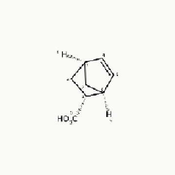 O=C(O)[C@@H]1C[C@H]2C=C[C@@H]1C2